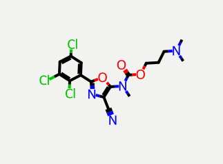 CN(C)CCCOC(=O)N(C)c1oc(-c2cc(Cl)cc(Cl)c2Cl)nc1C#N